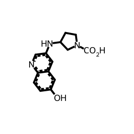 O=C(O)N1CCC(Nc2cnc3ccc(O)cc3c2)C1